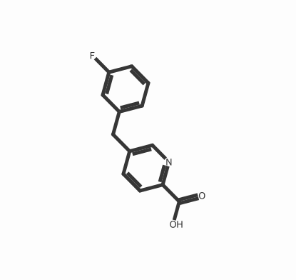 O=C(O)c1ccc(Cc2cccc(F)c2)cn1